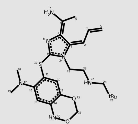 C=C/C=c1\c(=C(/C)N)nc(Sc2cc3c(cc2N(C)C)NOCO3)n1CCNCC(C)(C)C